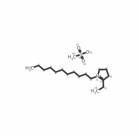 CCCCCCCCCCC[N+]1=C(CC)CCC1.CS(=O)(=O)[O-]